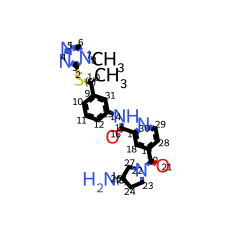 C[C@H](Sc1nncn1C)c1cccc(NC(=O)c2cc(C(=O)N3CC[C@H](N)C3)ccn2)c1